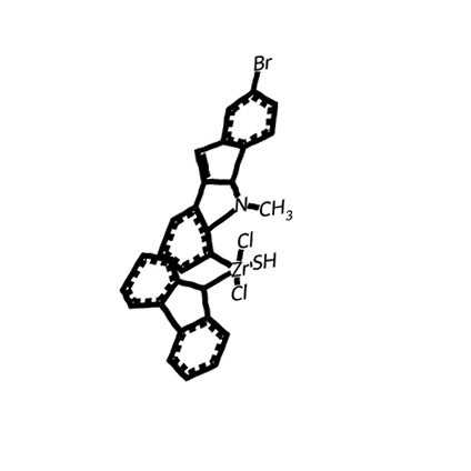 CN1c2c(ccc[c]2[Zr]([SH])([Cl])([Cl])[CH]2c3ccccc3-c3ccccc32)C2=Cc3cc(Br)ccc3C21